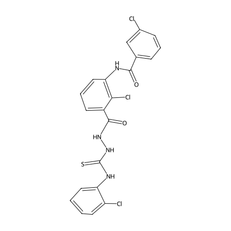 O=C(Nc1cccc(C(=O)NNC(=S)Nc2ccccc2Cl)c1Cl)c1cccc(Cl)c1